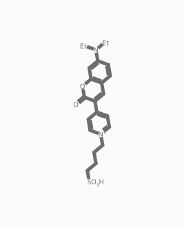 CCN(CC)c1ccc2cc(-c3cc[n+](CCCCS(=O)(=O)O)cc3)c(=O)oc2c1